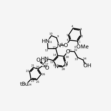 COc1ccccc1ON1CCNCC1c1c(NS(=O)(=O)c2ccc(C(C)(C)C)cc2)ncnc1OCCCO